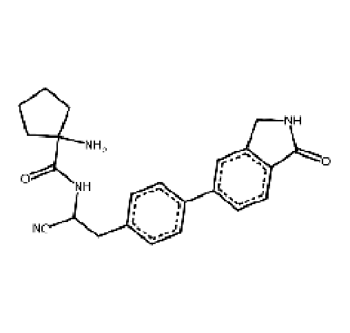 N#CC(Cc1ccc(-c2ccc3c(c2)CNC3=O)cc1)NC(=O)C1(N)CCCC1